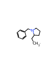 [CH2]CC1CCCN1Cc1ccccc1